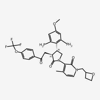 COc1cc(P)c([C@@H]2CN(c3c(C)ccn(CC4CCO4)c3=O)C(=O)[C@H]2CC(=O)c2ccc(OC(F)(F)F)cc2)c(P)c1